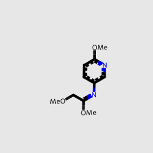 COCC(=Nc1ccc(OC)nc1)OC